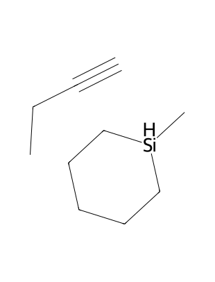 C#CCC.C[SiH]1CCCCC1